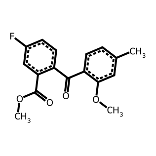 COC(=O)c1cc(F)ccc1C(=O)c1ccc(C)cc1OC